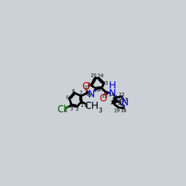 Cc1cc(Cl)ccc1-c1nc2c(C(=O)NC3CN4CCC3CC4)cccc2o1